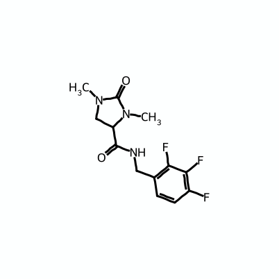 CN1CC(C(=O)NCc2ccc(F)c(F)c2F)N(C)C1=O